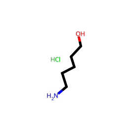 Cl.NCCCCCO